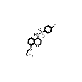 CCSc1cccc2c1OCCC2NS(=O)(=O)c1ccc(F)cc1